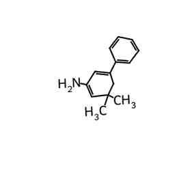 CC1(C)C=C(N)C=C(c2ccccc2)C1